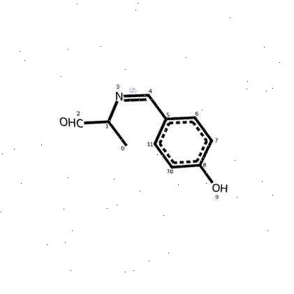 CC(C=O)/N=C\c1ccc(O)cc1